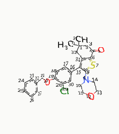 CC1(C)CC(=O)c2sc(N3CCOCC3)c(-c3ccc(OCc4ccccc4)c(Cl)c3)c2C1